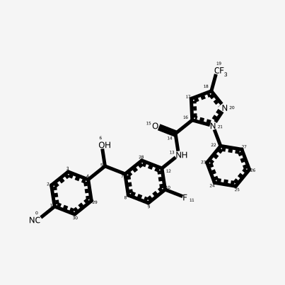 N#Cc1ccc(C(O)c2ccc(F)c(NC(=O)c3cc(C(F)(F)F)nn3-c3ccccc3)c2)cc1